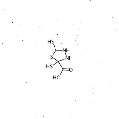 O=C(O)C1(S)NNC(S)S1